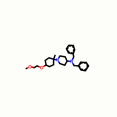 COCCOC1CCC(C)(N2CCC(N(Cc3ccccc3)Cc3ccccc3)CC2)CC1